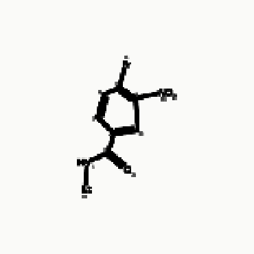 CCNC(=O)c1ccc(Br)c([N+](=O)[O-])c1